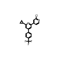 FC(F)(F)c1ccc(-c2cc(-c3ccnc(Cl)c3)nc(C3CC3)c2)cc1